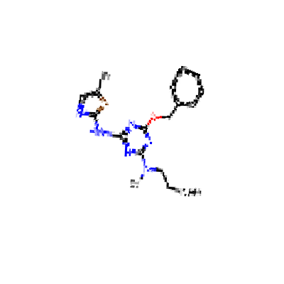 CCN(CCNC)c1nc(Nc2ncc(C(C)C)s2)nc(OCc2ccccc2)n1